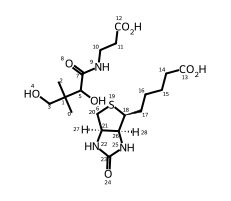 CC(C)(CO)C(O)C(=O)NCCC(=O)O.O=C(O)CCCC[C@@H]1SC[C@@H]2NC(=O)N[C@@H]21